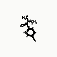 CN(C)C(=O)c1ccc(I)cn1